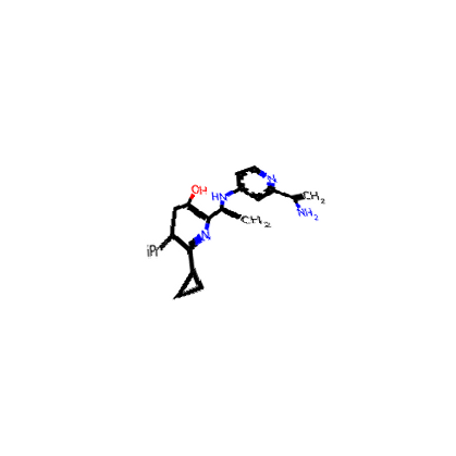 C=C(Nc1ccnc(C(=C)N)c1)C1=C(O)CC(C(C)C)C(C2CC2)=N1